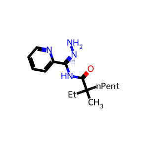 CCCCCC(C)(CC)C(=O)N/C(=N/N)c1ccccn1